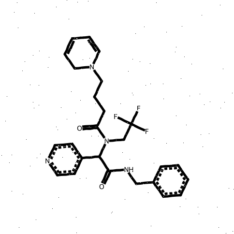 O=C(NCc1ccccc1)C(c1ccncc1)N(CC(F)(F)F)C(=O)CCCN1C=CC=CC1